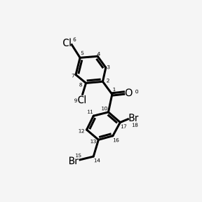 O=C(c1ccc(Cl)cc1Cl)c1ccc(CBr)cc1Br